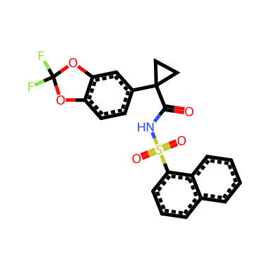 O=C(NS(=O)(=O)c1cccc2ccccc12)C1(c2ccc3c(c2)OC(F)(F)O3)CC1